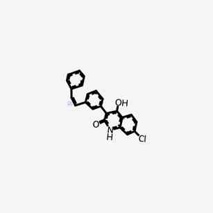 O=c1[nH]c2cc(Cl)ccc2c(O)c1-c1cccc(/C=C\c2ccccc2)c1